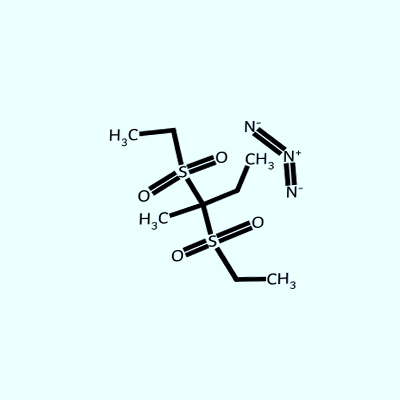 CCC(C)(S(=O)(=O)CC)S(=O)(=O)CC.[N-]=[N+]=[N-]